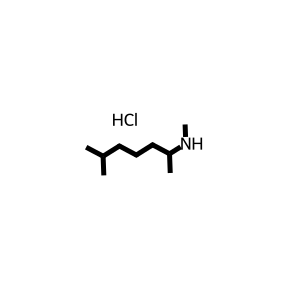 CNC(C)CCCC(C)C.Cl